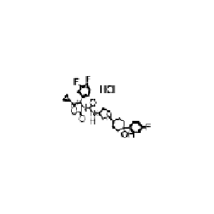 Cl.O=C(N[C@@H]1CCN(C2CCC(O)(c3ccc(F)cc3)CC2)C1)N1C(=O)O[C@@H](C2CC2)[C@@H]1c1ccc(F)c(F)c1